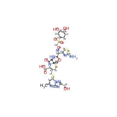 Cc1cc(SCC2=C(C(=O)O)N3C(=O)[C@@H](NC(=O)C(=NOCS(=O)(=O)c4ccc(O)c(O)c4)c4csc(N)n4)[C@H]3SC2)n2nc(CO)nc2n1